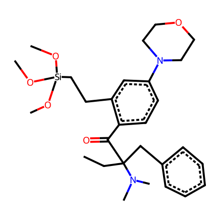 CCC(Cc1ccccc1)(C(=O)c1ccc(N2CCOCC2)cc1CC[Si](OC)(OC)OC)N(C)C